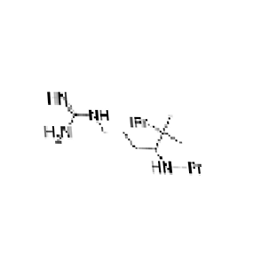 CC(C)NC(CCCNC(=N)N)C(C)(C)C(C)C